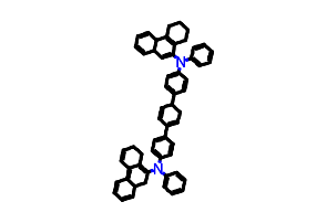 C1=CC2=C3C=CCCC3=C(N(c3ccccc3)c3ccc(C4=CCC(c5ccc(N(C6=CC7C=CC=CC7C7=C6CCCC7)c6ccccc6)cc5)C=C4)cc3)CC2C=C1